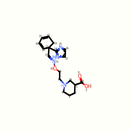 O=C(O)C1CCCN(CCON=CC2(c3ncc[nH]3)C=CC=CC2)C1